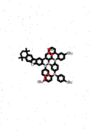 CC(C)(C)c1ccc(N2B3c4cc(N(c5ccc(C(C)(C)C)cc5)c5ccc(C(C)(C)C)cc5)ccc4N(c4ccc(C(C)(C)C)cc4-c4ccccc4)c4cc(C(C)(C)C)cc(c43)-c3cc4c(cc32)oc2cc3c(cc24)C(C)(C)CCC3(C)C)cc1